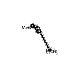 CCC(C)(C)C(=O)OCCCCCCCCCCCOc1ccc2cc(-c3cccc(OC)c3)c(=O)oc2n1